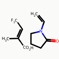 C=CN1CCCC1=O.CC(=CC(F)(F)F)C(=O)O